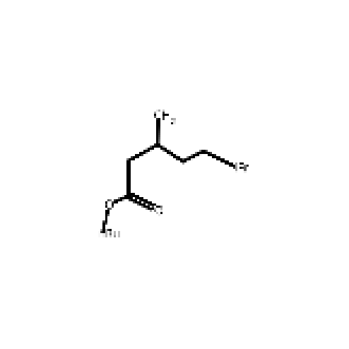 CCCCOC(=O)CC(C)[CH]CC(C)C